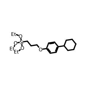 CCO[Si](CCCOc1ccc(C2CCCCC2)cc1)(OCC)OCC